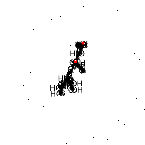 CC(C)(C)OC(=O)CCC(=O)NC(CCCCNC(=O)OCC1c2ccccc2-c2ccccc21)C(=O)NCCOCCOCC(=O)NC(CCC(=O)NC(CCC(=O)O)C(=O)O)C(=O)NC(CCC(=O)O)C(=O)O